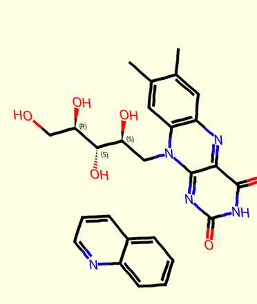 Cc1cc2nc3c(=O)[nH]c(=O)nc-3n(C[C@H](O)[C@H](O)[C@H](O)CO)c2cc1C.c1ccc2ncccc2c1